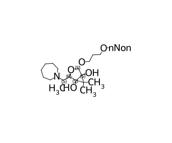 CCCCCCCCCOCCCO[C@H]1O[C@H]([C@H](C)N2CCCCCC2)[C@@]2(O)C(C)(C)[C@@]12O